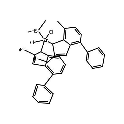 Cc1ccc(-c2ccccc2)c2c1[CH]([Zr]([Cl])([Cl])([CH]1C(C(C)C)=Cc3c(-c4ccccc4)cccc31)[SiH](C)C)C(CC(C)C)=C2